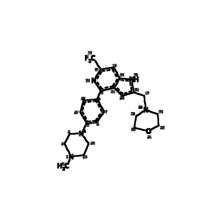 CN1CCN(c2ccc(-c3nc(C(F)(F)F)cc4[nH]c(CN5CCOCC5)cc34)cc2)CC1